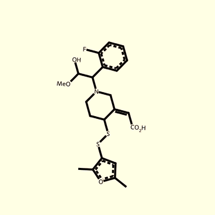 COC(O)C(c1ccccc1F)N1CCC(SSc2cc(C)oc2C)/C(=C\C(=O)O)C1